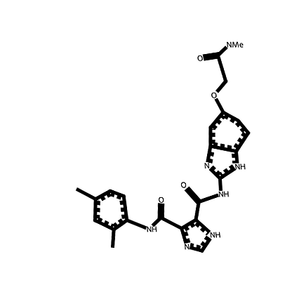 CNC(=O)COc1ccc2[nH]c(NC(=O)c3[nH]cnc3C(=O)Nc3ccc(C)cc3C)nc2c1